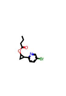 CCCC(=O)OC1CC1c1ccc(Br)cn1